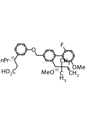 C=CC(C)(C)[C@H](OC)c1cc(COc2cccc([C@@H](CCC)CC(=O)O)c2)ccc1-c1cc(OC)ccc1F